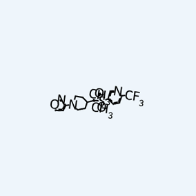 CC(C)(C1CCN(c2ccon2)CC1)S(=O)(=O)c1ccc(C(F)(F)F)nc1